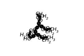 C=C(COC(O)Cc1ccc(N(c2ccc(CC(=O)OCC(=C)C(=O)OCC)cc2)c2ccc(Oc3ccc(N(C4=CCC(CC(=O)OCC(=C)C(=O)OCC)C=C4)c4ccc(CC(=O)OCC(=C)C(=O)OCC)cc4)cc3)cc2)cc1)C(=O)CCC